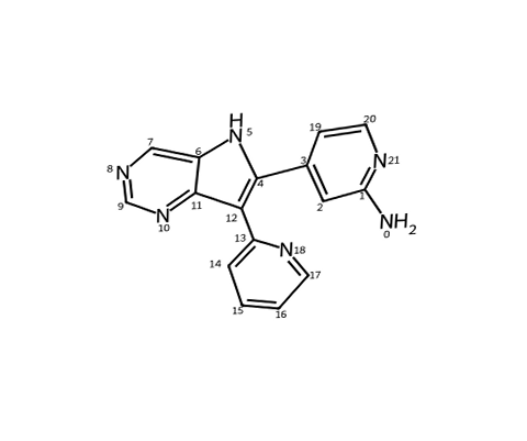 Nc1cc(-c2[nH]c3cncnc3c2-c2ccccn2)ccn1